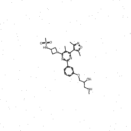 CNCC(O)COc1cccc(-c2nc(-c3c(C)noc3C)c(C)c(N3CC(NS(C)(=O)=O)C3)n2)c1